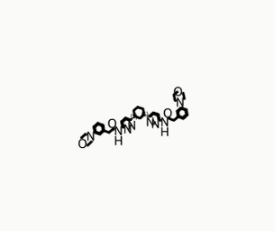 O=C(Cc1cccc(N2CCOCC2)c1)Nc1ccc([C@H]2CCC[C@H](c3ccc(NC(=O)Cc4cccc(N5CCOCC5)c4)nn3)C2)nn1